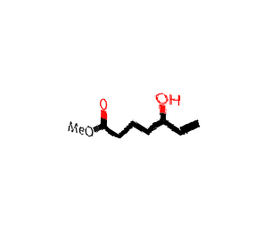 C=CC(O)CCCC(=O)OC